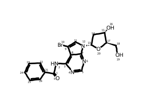 O=C(Nc1ncnc2c1c(Br)cn2[C@@H]1C[C@H](O)[C@@H](CO)O1)c1ccccc1